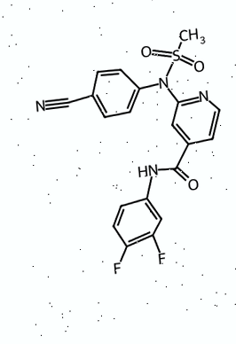 CS(=O)(=O)N(c1ccc(C#N)cc1)c1cc(C(=O)Nc2ccc(F)c(F)c2)ccn1